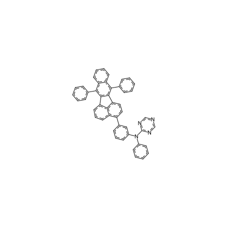 c1ccc(-c2c3c(c(-c4ccccc4)c4ccccc24)-c2ccc(-c4cccc(N(c5ccccc5)c5ncncn5)c4)c4cccc-3c24)cc1